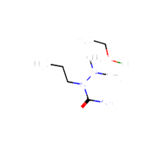 CCCN(C(N)=O)N(C)C.CCOCl